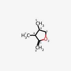 C=C1OCC(C)C1C